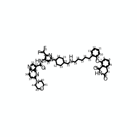 O=C1Cc2cccc(Oc3ccccc3CCCCCNCC3CCC(n4cc(NC(=O)c5cnn6ccc(N7CCOCC7)nc56)c(C(F)F)n4)CC3)c2C(=O)N1